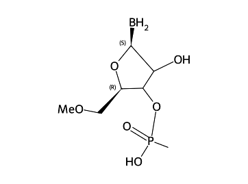 B[C@@H]1O[C@H](COC)C(OP(C)(=O)O)C1O